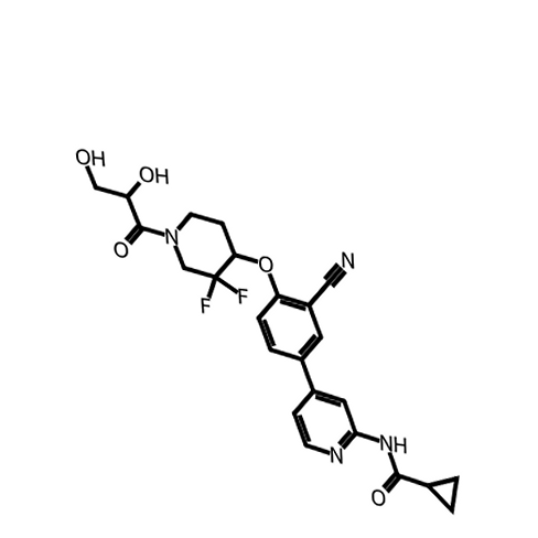 N#Cc1cc(-c2ccnc(NC(=O)C3CC3)c2)ccc1OC1CCN(C(=O)C(O)CO)CC1(F)F